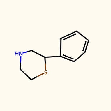 [c]1ccccc1C1CNCCS1